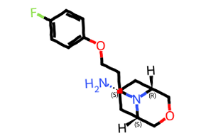 N[C@H]1C[C@H]2COC[C@@H](C1)N2CCCOc1ccc(F)cc1